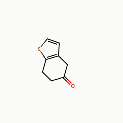 O=C1CCc2sccc2C1